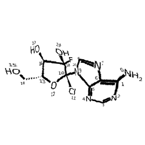 Nc1ncnc2c1ncn2[C@]1(Cl)O[C@H](CO)[C@@H](O)[C@]1(O)F